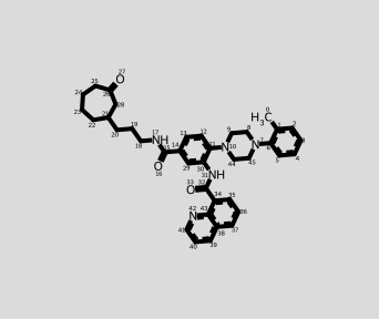 Cc1ccccc1N1CCN(c2ccc(C(=O)NCCCC3CCCCC(=O)C3)cc2NC(=O)c2cccc3cccnc23)CC1